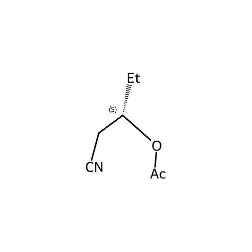 CC[C@@H](CC#N)OC(C)=O